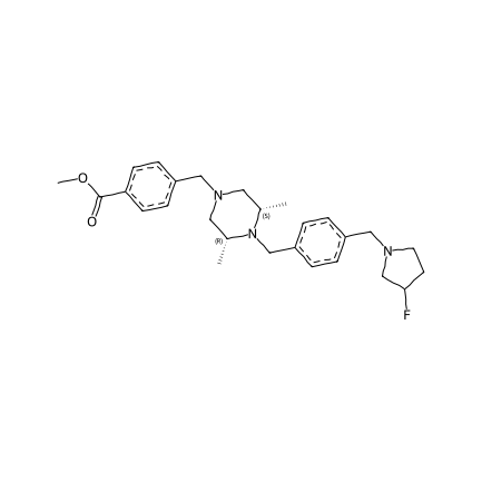 COC(=O)c1ccc(CN2C[C@@H](C)N(Cc3ccc(CN4CCC(F)C4)cc3)[C@@H](C)C2)cc1